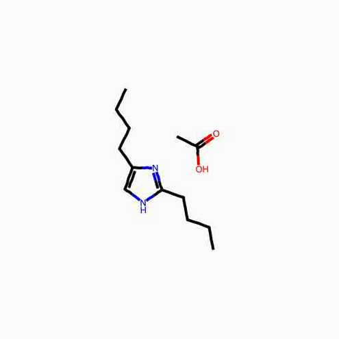 CC(=O)O.CCCCc1c[nH]c(CCCC)n1